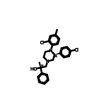 Cc1ccc(N2CCN(C[C@@](C)(O)c3ccccc3)C[C@H]2c2ccc(Cl)cc2)c(Cl)c1